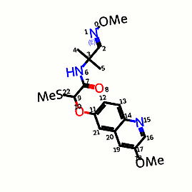 CO/N=C/C(C)(C)NC(=O)C(Oc1ccc2ncc(OC)cc2c1)SC